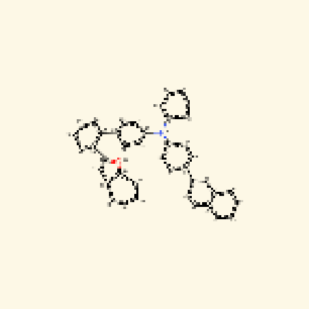 c1ccc(N(c2ccc(-c3ccc4ccccc4c3)cc2)c2ccc(-c3ccccc3-c3cc4ccccc4o3)cc2)cc1